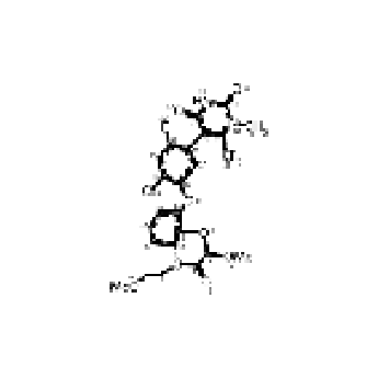 COCCOC(=O)C(OC)Oc1ccccc1Oc1cc(-c2c(C(F)(F)F)n(C)c(=O)[nH]c2=O)c(F)cc1Cl